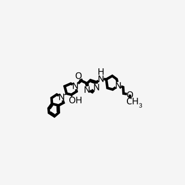 COCCN1CCC(Nc2cc(C(=O)N3CC[C@@H](N4CCc5ccccc5C4)[C@H](O)C3)ncn2)CC1